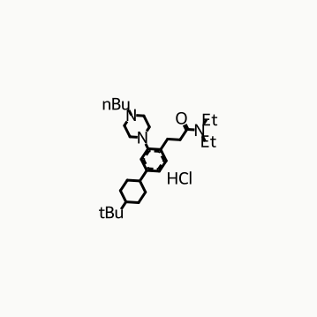 CCCCN1CCN(c2cc(C3CCC(C(C)(C)C)CC3)ccc2CCC(=O)N(CC)CC)CC1.Cl